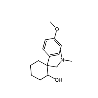 COc1ccc(C2(CN(C)C)CCCCC2O)cc1